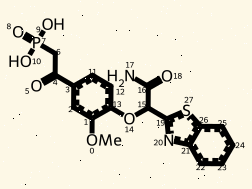 COc1cc(C(=O)CP(=O)(O)O)ccc1OC(C(N)=O)c1nc2ccccc2s1